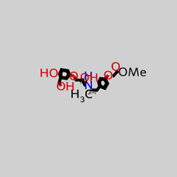 COC(=O)COc1ccc(C[C@H](C)NC[C@@H](O)COc2ccc(O)c(CO)c2)cc1